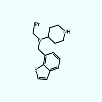 CC(C)CN(Cc1cccc2ccsc12)C1CCNCC1